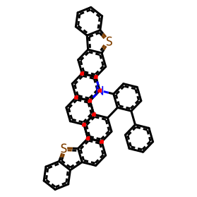 c1ccc(-c2ccccc2-c2c(-c3ccccc3)cccc2N(c2cccc(-c3cccc4c3sc3ccccc34)c2)c2ccc3c(c2)sc2ccccc23)cc1